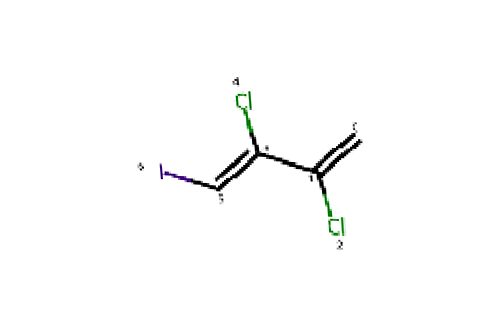 C=C(Cl)C(Cl)=CI